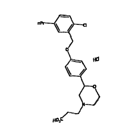 CCCc1ccc(Cl)c(COc2ccc(C3CN(CCC(=O)O)CCO3)cc2)c1.Cl